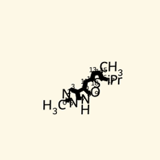 Cc1ncc2c(n1)NC(=O)C2=Cc1cc(C)c(C(C)C)s1